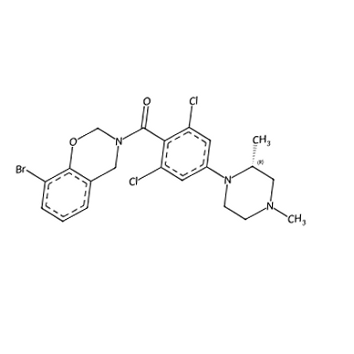 C[C@@H]1CN(C)CCN1c1cc(Cl)c(C(=O)N2COc3c(Br)cccc3C2)c(Cl)c1